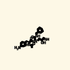 CC(=O)N[C@@H](Cc1ccc(N)cc1)C(=O)N[C@@H](CCC(O)C=N)C(=O)NCc1ccccc1